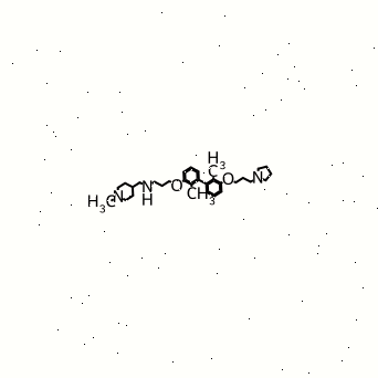 Cc1c(OCCCNCC2CCN(C)CC2)cccc1-c1cccc(OCCCN2CCCC2)c1C